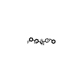 Cn1c(-c2ccc(-c3cccc(F)c3)nc2)cnc1C1CCN(Cc2ccccc2)CC1